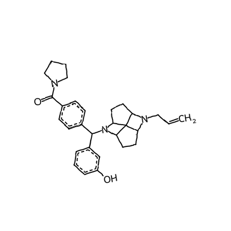 C=CCN1C2CCC3N(C(c4ccc(C(=O)N5CCCC5)cc4)c4cccc(O)c4)C4CCC1C234